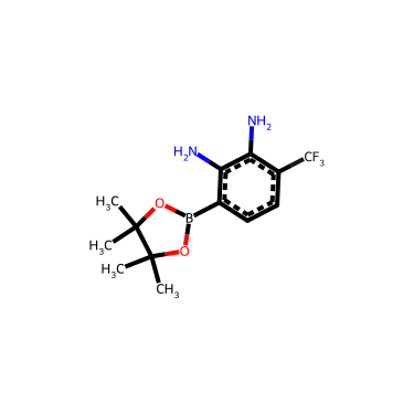 CC1(C)OB(c2ccc(C(F)(F)F)c(N)c2N)OC1(C)C